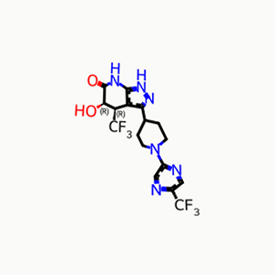 O=C1Nc2[nH]nc(C3CCN(c4cnc(C(F)(F)F)cn4)CC3)c2[C@@H](C(F)(F)F)[C@H]1O